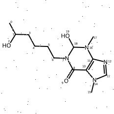 CC(O)CCCCN1C(=O)c2c(ncn2C)N(C)C1O